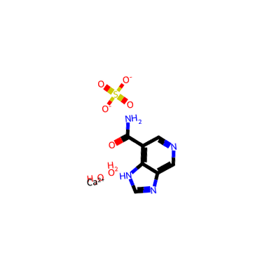 NC(=O)c1cncc2nc[nH]c12.O.O.O=S(=O)([O-])[O-].[Ca+2]